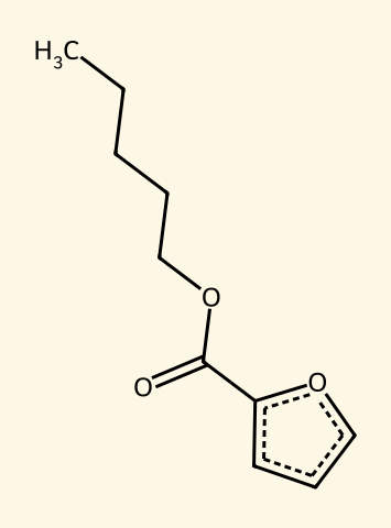 CCCCCOC(=O)c1ccco1